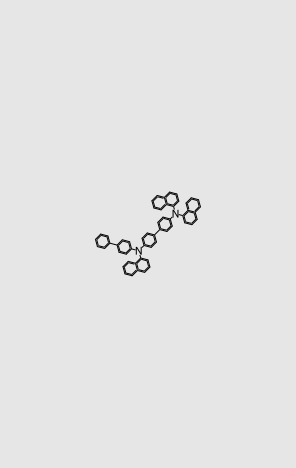 c1ccc(-c2ccc(N(c3ccc(-c4ccc(N(c5cccc6ccccc56)c5cccc6ccccc56)cc4)cc3)c3cccc4ccccc34)cc2)cc1